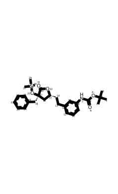 CC(C)(C)OC(=O)Nc1cccc(CC[C@@H]2C[C@@](Cc3ccccc3)(O[Si](C)(C)C)C(=O)O2)c1